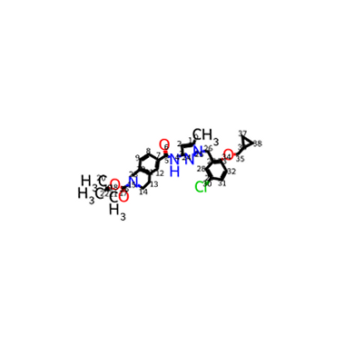 Cc1cc(NC(=O)c2ccc3c(c2)CCN(C(=O)OC(C)(C)C)C3)nn1Cc1cc(Cl)ccc1OCC1CC1